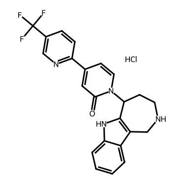 Cl.O=c1cc(-c2ccc(C(F)(F)F)cn2)ccn1C1CCNCc2c1[nH]c1ccccc21